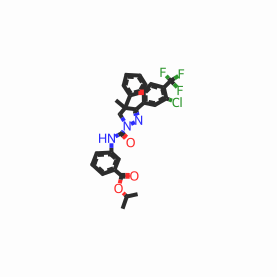 CC(C)OC(=O)c1cccc(NC(=O)N2CC(C)(c3ccccc3)C(c3ccc(C(F)(F)F)c(Cl)c3)=N2)c1